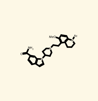 COc1ccc2c(c1CCN1CCC(n3ccc4ccc(C(N)=O)cc43)CC1)CCCN2C(C)=O